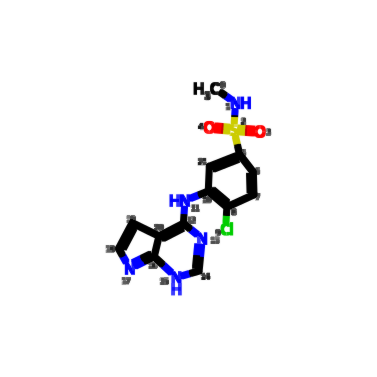 CNS(=O)(=O)c1ccc(Cl)c(Nc2nc[nH]c3nccc2-3)c1